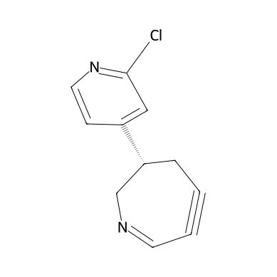 Clc1cc([C@@H]2CC#CC=NC2)ccn1